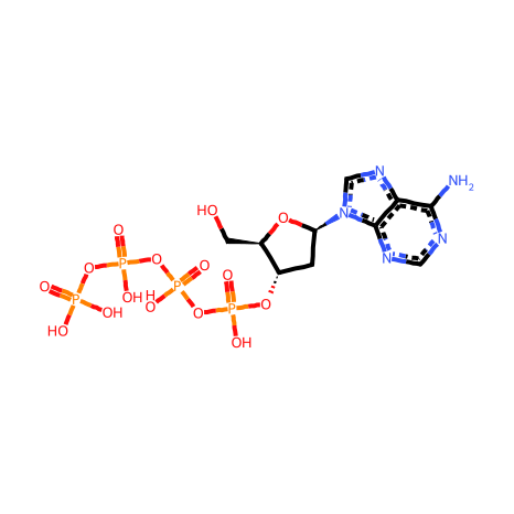 Nc1ncnc2c1ncn2[C@H]1C[C@H](OP(=O)(O)OP(=O)(O)OP(=O)(O)OP(=O)(O)O)[C@@H](CO)O1